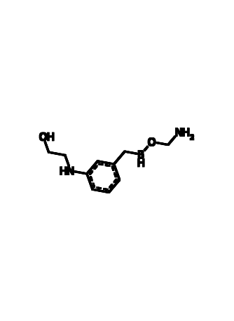 NCOBCc1cccc(NCCO)c1